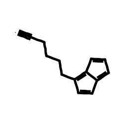 [C]#CCCCCC1=C2C=CC=C2C=C1